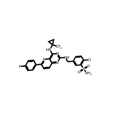 NS(=O)(=O)c1cc(CNc2nc(NC3(C(F)(F)F)CC3)c3nc(-c4ccc(F)cc4)ccc3n2)ccc1Cl